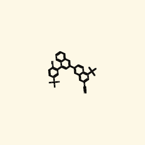 CC(C)(C)c1ccc(F)c(-c2cc(-c3ccc4c(C(C)(C)C)cc(C#N)cc4c3)cc3ccccc23)c1